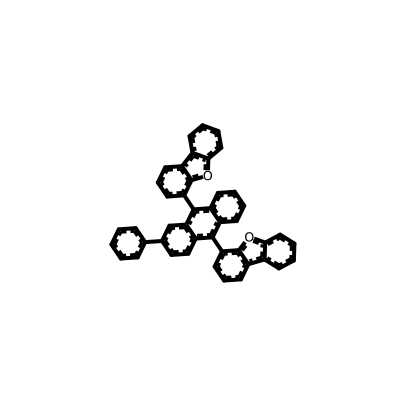 c1ccc(-c2ccc3c(-c4cccc5c4oc4ccccc45)c4ccccc4c(-c4cccc5c4oc4ccccc45)c3c2)cc1